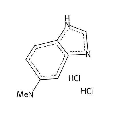 CNc1ccc2[nH]cnc2c1.Cl.Cl